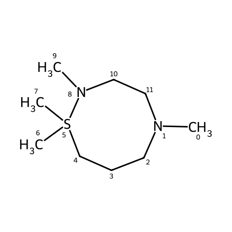 CN1CCCS(C)(C)N(C)CC1